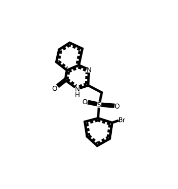 O=c1[nH]c(CS(=O)(=O)c2ccccc2Br)nc2ccccc12